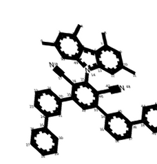 Cc1cc(C)c2c3c(C)cc(C)cc3n(-c3c(C#N)c(-c4cccc(-c5ccccc5)c4)cc(-c4cccc(-c5ccccc5)c4)c3C#N)c2c1